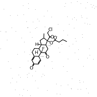 CCCC(=O)O[C@]1(C(=O)CCl)C(C)C[C@H]2[C@@H]3CCC4=CC(=O)C=C[C@]4(C)[C@@]3(F)C(=O)C[C@@]21C